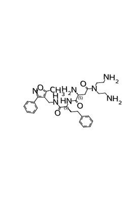 Cc1onc(-c2ccccc2)c1CNC(=O)[C@H](CCc1ccccc1)NC(=O)[C@@H](N)CC(=O)N(CCN)CCN